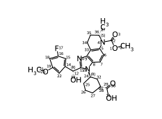 COC(=O)N1c2ccc3c(nc([C@H](O)c4cc(F)cc(OC)c4)n3[C@@H]3CCC[C@@H](C(=O)O)C3)c2CC[C@@H]1C